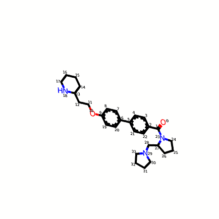 O=C(c1ccc(-c2ccc(OCCC3CCCCN3)cc2)cc1)N1CCCC1CN1CCCC1